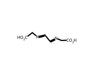 O=C(O)CN=CC=NCC(=O)O